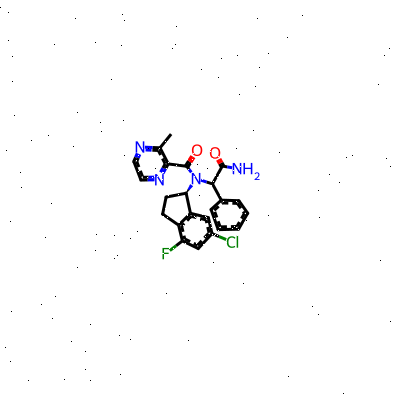 Cc1nccnc1C(=O)N(C(C(N)=O)c1ccccc1)[C@@H]1CCc2c(F)cc(Cl)cc21